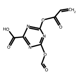 C=CC(=O)Oc1nc(OC=O)nc(C(=O)O)n1